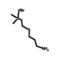 CCCC[Si](C)(C)CCSCCCN